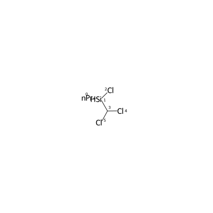 CCC[SiH](Cl)C(Cl)Cl